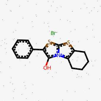 Oc1c(-c2ccccc2)sc2sc3c([n+]12)CCCC3.[Br-]